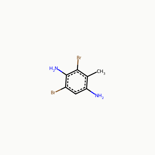 Cc1c(N)cc(Br)c(N)c1Br